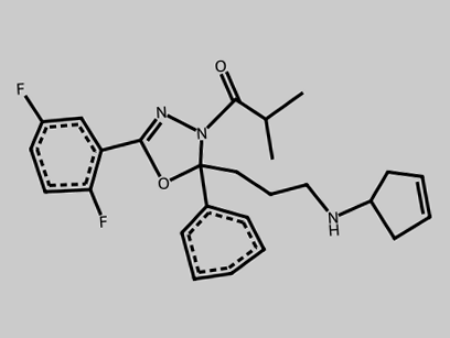 CC(C)C(=O)N1N=C(c2cc(F)ccc2F)OC1(CCCNC1CC=CC1)c1ccccc1